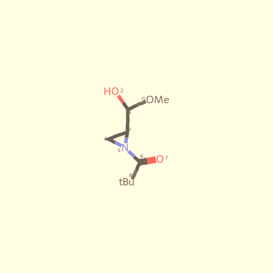 COC(O)C1CN1C(=O)C(C)(C)C